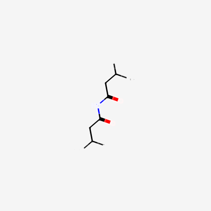 CCCCC(CC)CC(=O)NC(=O)CC(CC)CCCC